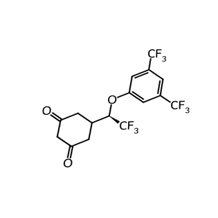 O=C1CC(=O)CC([C@@H](Oc2cc(C(F)(F)F)cc(C(F)(F)F)c2)C(F)(F)F)C1